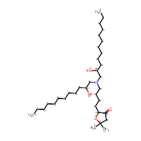 CCCCCCCCCCC(O)CN(CCCCC1OC(C)(C)CC1=O)CC(O)CCCCCCCCCC